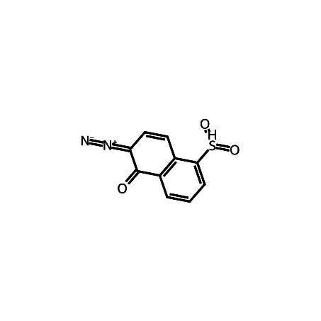 [N-]=[N+]=C1C=Cc2c(cccc2[SH](=O)=O)C1=O